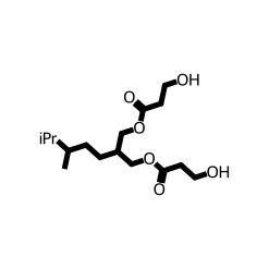 CC(C)C(C)CCC(COC(=O)CCO)COC(=O)CCO